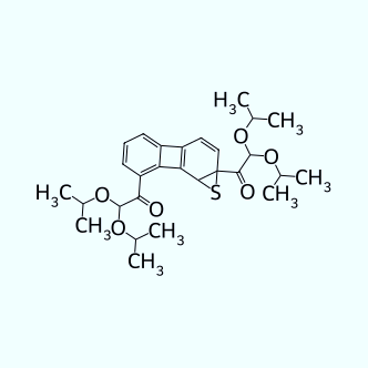 CC(C)OC(OC(C)C)C(=O)c1cccc2c1C1=C2C=CC2(C(=O)C(OC(C)C)OC(C)C)SC12